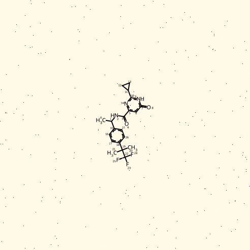 CC(NC(=O)c1cc(=O)[nH]c(C2CC2)n1)c1ccc(C(C)(C)C(F)(F)F)cc1